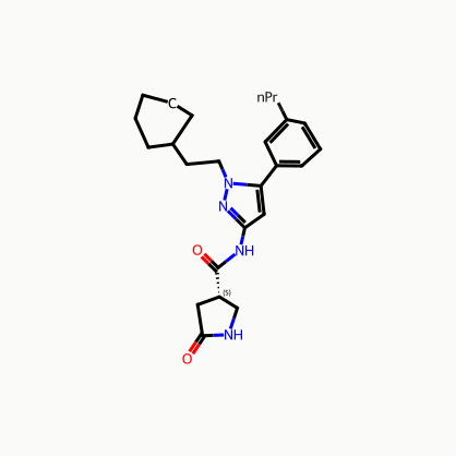 CCCc1cccc(-c2cc(NC(=O)[C@@H]3CNC(=O)C3)nn2CCC2CCCCC2)c1